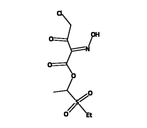 CCS(=O)(=O)C(C)OC(=O)C(=NO)C(=O)CCl